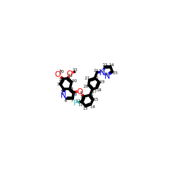 COc1cc2nccc(Oc3c(F)cccc3-c3ccc(Cn4cccn4)cc3)c2cc1OC